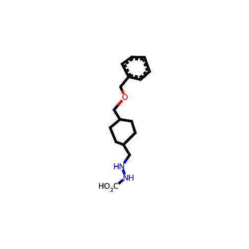 O=C(O)NNCC1CCC(COCc2ccccc2)CC1